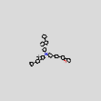 CC1(C)c2cc(-c3ccccc3)ccc2-c2ccc(N(c3ccc(-c4ccc(-c5ccc6c(c5)oc5ccccc56)cc4)cc3)c3ccc(-c4cccc5c(-c6ccccc6)cccc45)cc3)cc21